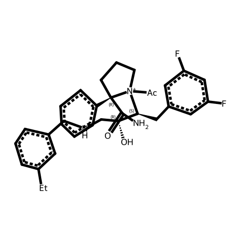 CCc1cccc(CNC[C@@H](O)[C@H](Cc2cc(F)cc(F)c2)[N+]2(C(C)=O)CCC[C@]2(C(N)=O)c2ccccc2)c1